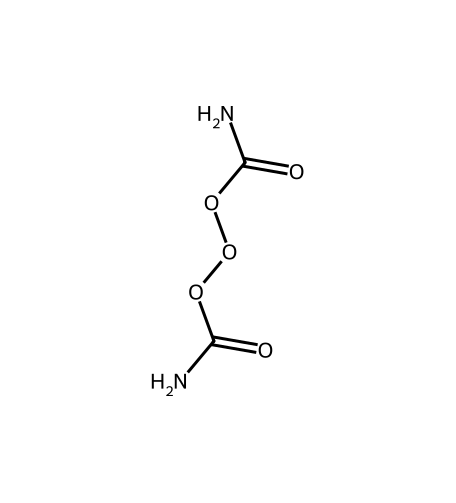 NC(=O)OOOC(N)=O